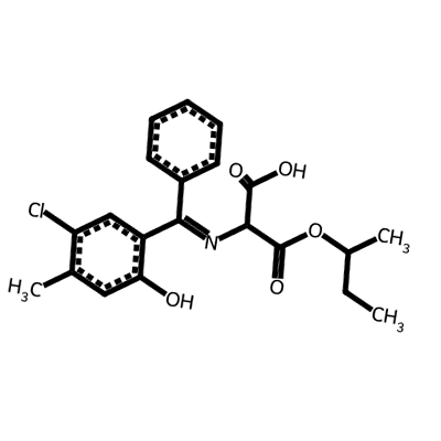 CCC(C)OC(=O)C(N=C(c1ccccc1)c1cc(Cl)c(C)cc1O)C(=O)O